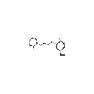 Cc1ccccc1OCCOc1cc(C(C)(C)C)ccc1C